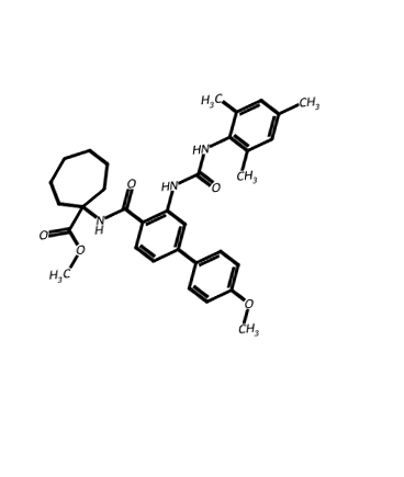 COC(=O)C1(NC(=O)c2ccc(-c3ccc(OC)cc3)cc2NC(=O)Nc2c(C)cc(C)cc2C)CCCCCC1